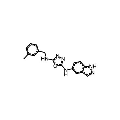 Cc1cccc(CNc2nnc(Nc3ccc4[nH]ncc4c3)o2)c1